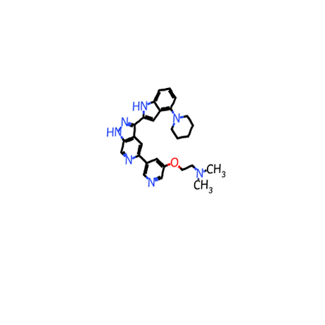 CN(C)CCOc1cncc(-c2cc3c(-c4cc5c(N6CCCCC6)cccc5[nH]4)n[nH]c3cn2)c1